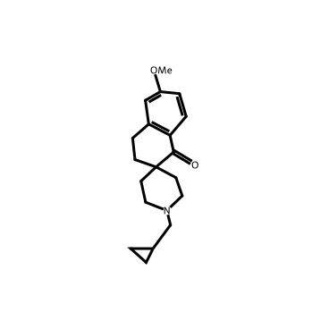 COc1ccc2c(c1)CCC1(CCN(CC3CC3)CC1)C2=O